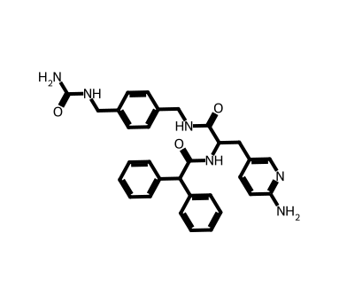 NC(=O)NCc1ccc(CNC(=O)C(Cc2ccc(N)nc2)NC(=O)C(c2ccccc2)c2ccccc2)cc1